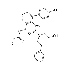 CCC(=O)OCc1cccc(-c2ccc(Cl)cc2)c1NC(=O)N(CCO)CCc1ccccc1